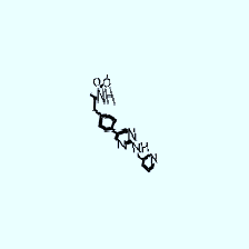 COC(=O)NC(C)Cc1ccc(-c2cnc(NCc3cccnc3)nc2)cc1